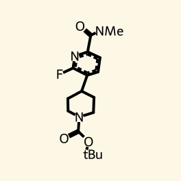 CNC(=O)c1ccc(C2CCN(C(=O)OC(C)(C)C)CC2)c(F)n1